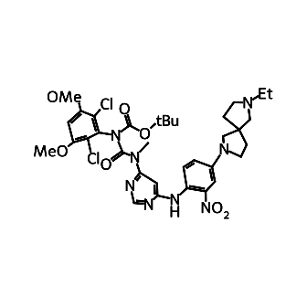 CCN1CCC2(CCN(c3ccc(Nc4cc(N(C)C(=O)N(C(=O)OC(C)(C)C)c5c(Cl)c(OC)cc(OC)c5Cl)ncn4)c([N+](=O)[O-])c3)C2)C1